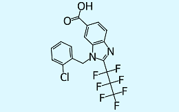 O=C(O)c1ccc2nc(C(F)(F)C(F)(F)C(F)(F)F)n(Cc3ccccc3Cl)c2c1